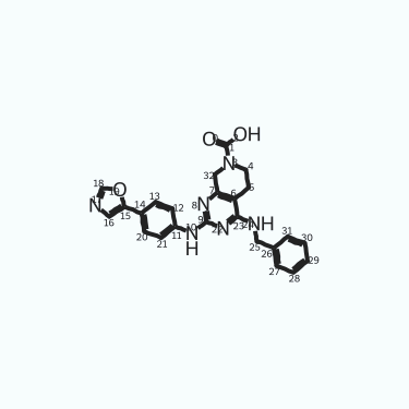 O=C(O)N1CCc2c(nc(Nc3ccc(-c4cnco4)cc3)nc2NCc2ccccc2)C1